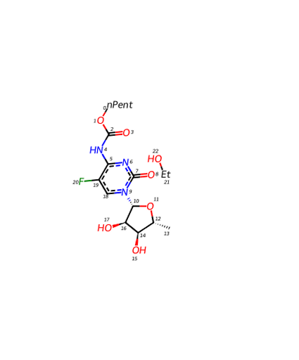 CCCCCOC(=O)Nc1nc(=O)n([C@@H]2O[C@H](C)[C@@H](O)[C@H]2O)cc1F.CCO